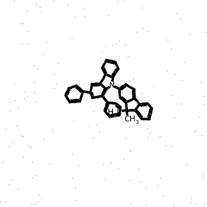 CC1(C)c2ccccc2-c2ccc(-n3c4ccccc4c4cc(-c5ccccc5)cc(-c5ccccc5)c43)cc21